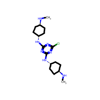 CN[C@H]1CC[C@H](Nc2nc(Cl)nc(N[C@H]3CC[C@H](NC)CC3)n2)CC1